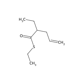 C=CCC(CC)C(=O)SCC